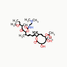 CCC(OC)C(C)C1OC1C(OC(=O)NCCN(C)C)C(C)/C=C/C=C(\C)C1OC(=O)CC(O)CCC(C)(O)C(OC(C)=O)/C=C/C1C